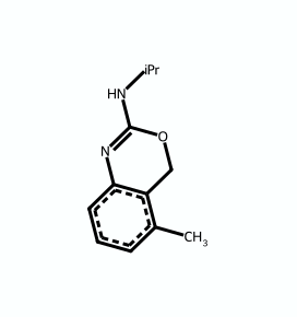 Cc1cccc2c1COC(NC(C)C)=N2